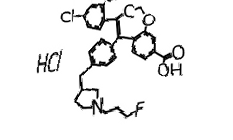 Cl.O=C(O)c1ccc2c(c1)OCCC(c1ccc(Cl)cc1Cl)=C2c1ccc(CC2CCN(CCCF)C2)cc1